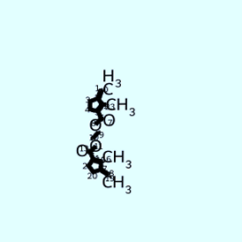 CC=C1CCC(C(=O)OCCOC(=O)C2=C(C)C(=CC)CC2)=C1C